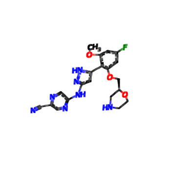 COc1cc(F)cc(OC[C@@H]2CNCCO2)c1-c1cc(Nc2cnc(C#N)cn2)n[nH]1